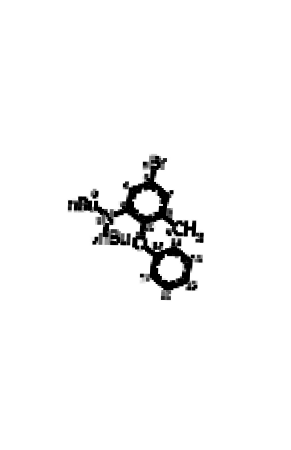 CCCCN(CCCC)c1cc(Br)cc(C)c1Oc1ccccc1